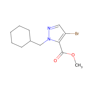 COC(=O)c1c(Br)cnn1CC1CCCCC1